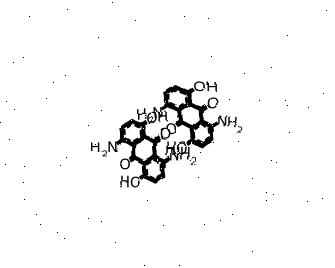 Nc1ccc(O)c2c1C(=O)c1c(O)ccc(N)c1C2=O.Nc1ccc(O)c2c1C(=O)c1c(O)ccc(N)c1C2=O